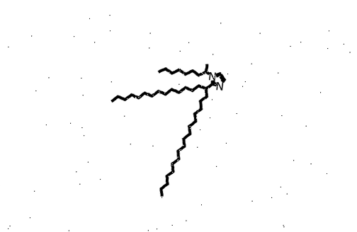 CCCCCCCCCCCCCCCCCC(CCCCCCCCCCCCCC)c1nccn1C(C)CCCCCCC